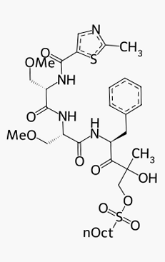 CCCCCCCCS(=O)(=O)OCC(C)(O)C(=O)[C@H](Cc1ccccc1)NC(=O)[C@H](COC)NC(=O)[C@H](COC)NC(=O)c1cnc(C)s1